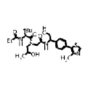 CCC(=O)NC(C(=O)N(CC(=O)NC(CO)c1ccc(-c2scnc2C)cc1)CC(C)O)C(C)(C)C